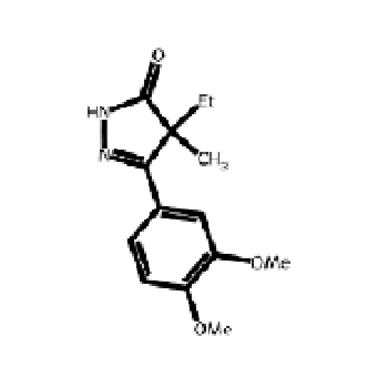 CCC1(C)C(=O)NN=C1c1ccc(OC)c(OC)c1